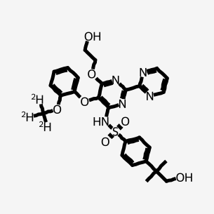 [2H]C([2H])([2H])Oc1ccccc1Oc1c(NS(=O)(=O)c2ccc(C(C)(C)CO)cc2)nc(-c2ncccn2)nc1OCCO